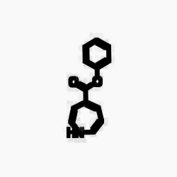 O=C(Oc1ccccc1)C1=CC=CNC=C1